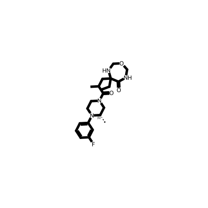 CCC1(CC(C)C(=O)N2CCN(c3cccc(F)c3)[C@@H](C)C2)NCOCNC1=O